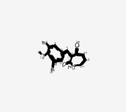 COc1c(Br)cc(/C=C2/C(=O)CCCNC2=O)cc1Br